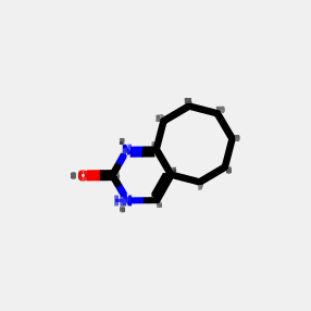 O=c1nc2c(c[nH]1)CCCCCC2